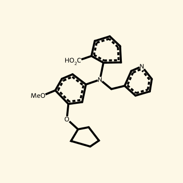 COc1ccc(N(Cc2cccnc2)c2ccccc2C(=O)O)cc1OC1CCCC1